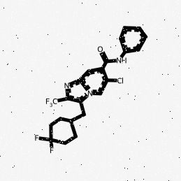 O=C(Nc1ccccc1)c1cc2nc(C(F)(F)F)c(CC3CCC(F)(F)CC3)n2cc1Cl